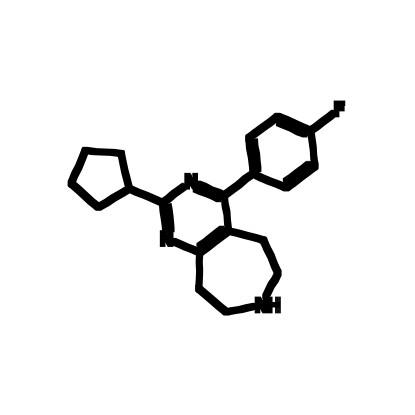 Fc1ccc(-c2nc(C3CCCC3)nc3c2CCNCC3)cc1